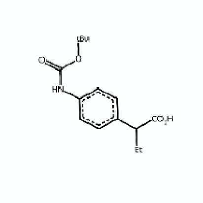 CCC(C(=O)O)c1ccc(NC(=O)OC(C)(C)C)cc1